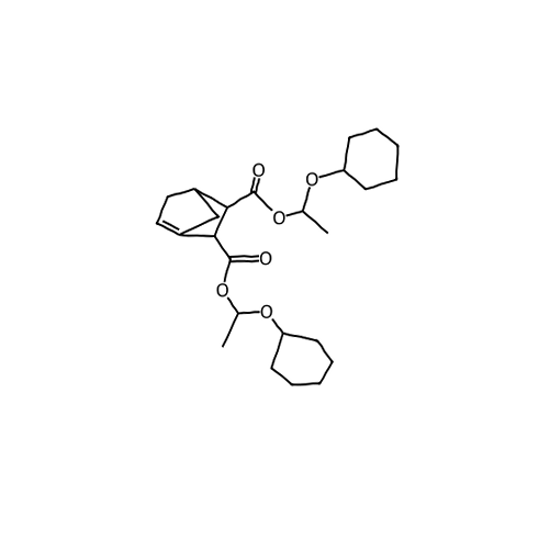 CC(OC(=O)C1C2=CCC(C2)C1C(=O)OC(C)OC1CCCCC1)OC1CCCCC1